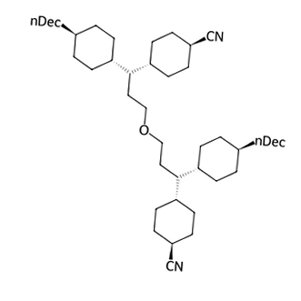 CCCCCCCCCC[C@H]1CC[C@H](C(CCOCCC([C@H]2CC[C@H](C#N)CC2)[C@H]2CC[C@H](CCCCCCCCCC)CC2)[C@H]2CC[C@H](C#N)CC2)CC1